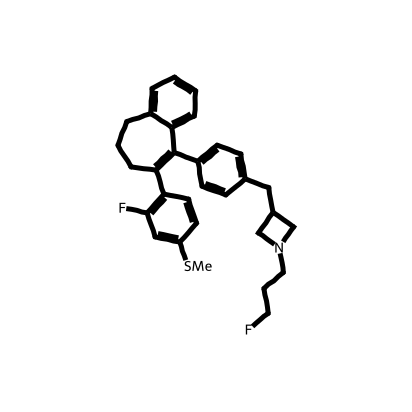 CSc1ccc(C2=C(c3ccc(CC4CN(CCCF)C4)cc3)c3ccccc3CCC2)c(F)c1